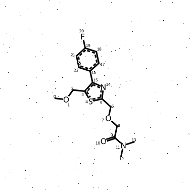 COCc1sc(COCC(=O)N(C)C)nc1-c1ccc(F)cc1